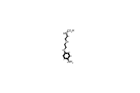 Nc1ccc(OCCOCCNC(=O)O)cc1